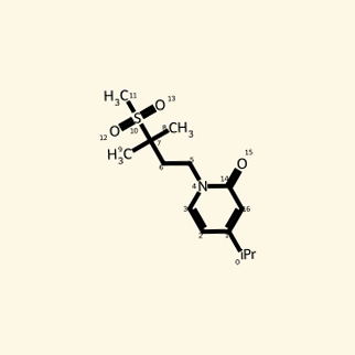 CC(C)c1ccn(CCC(C)(C)S(C)(=O)=O)c(=O)c1